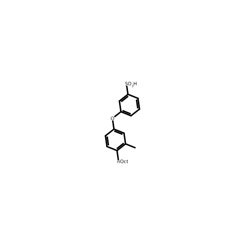 CCCCCCCCc1ccc(Oc2cccc(S(=O)(=O)O)c2)cc1C